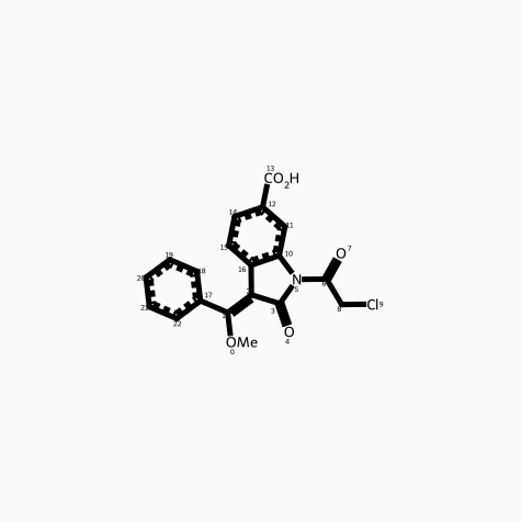 COC(=C1C(=O)N(C(=O)CCl)c2cc(C(=O)O)ccc21)c1ccccc1